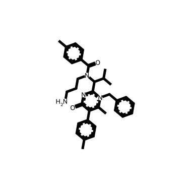 Cc1ccc(C(=O)N(CCCN)C(c2nc(=O)c(-c3ccc(C)cc3)c(C)n2Cc2ccccc2)C(C)C)cc1